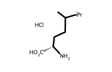 CC(C)C(C)CC[C@H](N)C(=O)O.Cl